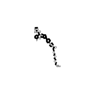 CC(C)(C)CCOCCOCCOCCC(=O)N1CCN(c2ccc(-c3ccc4c(c3)C(=O)N(C(C(=O)Nc3nccs3)c3cccc(F)c3)C4)cc2)CC1